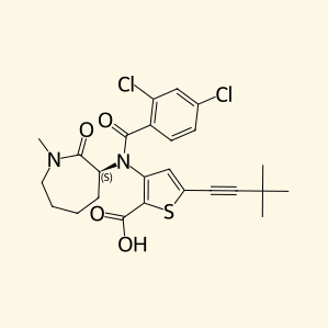 CN1CCCC[C@H](N(C(=O)c2ccc(Cl)cc2Cl)c2cc(C#CC(C)(C)C)sc2C(=O)O)C1=O